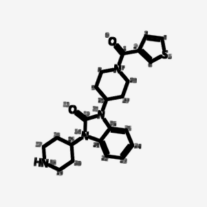 O=C(c1ccsc1)N1CCC(n2c(=O)n(C3CCNCC3)c3ccccc32)CC1